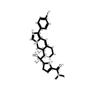 CN(C)C(=O)C1=CCC([C@@](C)(O)[C@H]2CCCC3=Cc4c(-c5ccc(F)cc5)ncn4C[C@@]32C)S1